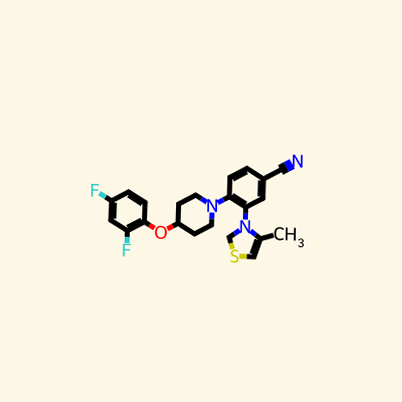 CC1=CSCN1c1cc(C#N)ccc1N1CCC(Oc2ccc(F)cc2F)CC1